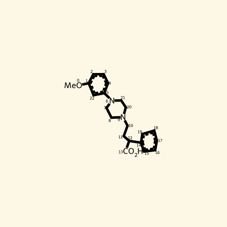 COc1cccc(N2CCN(CCC(C(=O)O)c3ccccc3)CC2)c1